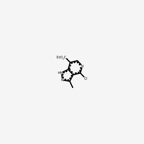 CCOC(=O)c1cnc(Cl)c2c(C)n[nH]c12